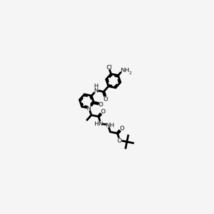 CC(C(=O)NNCC(=O)OC(C)(C)C)n1cccc(NC(=O)c2ccc(N)c(Cl)c2)c1=O